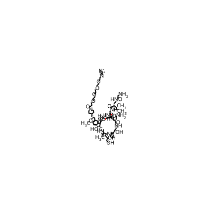 CC[C@H](C)[C@H](CCNC(=O)CN)C(=O)NCC(=O)N[C@@H]1C[S+]([O-])c2[nH]c3c(CSC4CCN(C(=O)CCOCCOCCOCCOCCN=[N+]=[N-])CC4)c(OC)ccc3c2[C@H](CO)CNC(=O)[C@H]([C@@H](C)[C@@H](O)CO)NC(=O)C[C@@H](O)CNC(=O)[C@H](CC(N)=O)NC1=O